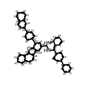 C1=CC2=C(c3ccc(-c4ccccc4)cc3)NC(c3cc(-c4ccc(-c5ccc6ccccc6c5)cc4)c4oc5c6ccccc6ccc5c4c3)NC2C=C1